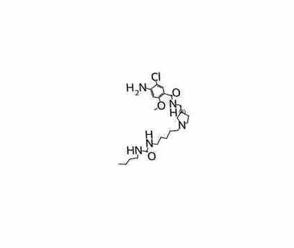 CCCCNC(=O)NCCCCCN1CC[C@H](CNC(=O)c2cc(Cl)c(N)cc2OC)C1